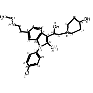 CSNCCc1cnc2c(C(O)CN3CCC(O)CC3)c(C)n(-c3ccc(Cl)cc3)c2c1